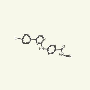 N#CNC(=O)c1ccc(Nc2nccc(-c3ccc(Cl)cc3)n2)cc1